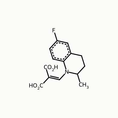 CC1CCc2cc(F)ccc2N1C=C(C(=O)O)C(=O)O